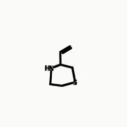 C=CC1CSCCN1